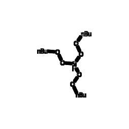 CCCCOO[SiH](OOCCCC)OOCCCC